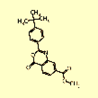 COC(=O)c1ccc2c(=O)oc(-c3ccc(C(C)(C)C)cc3)nc2c1